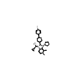 Cc1ccc2c(c1C)N(N1CCCC1)C(c1ccc(-c3ccc(F)cc3)cc1)N2C(=O)C1CC1